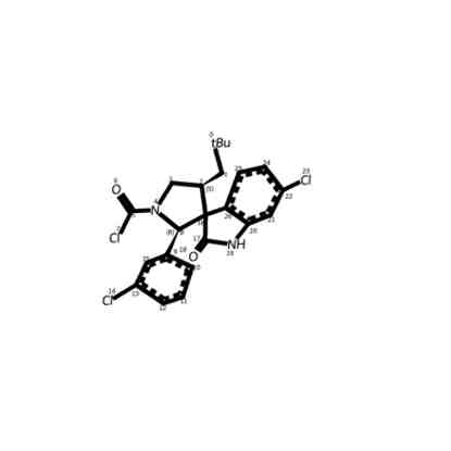 CC(C)(C)C[C@@H]1CN(C(=O)Cl)[C@H](c2cccc(Cl)c2)C12C(=O)Nc1cc(Cl)ccc12